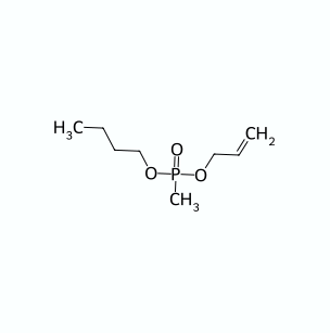 C=CCOP(C)(=O)OCCCC